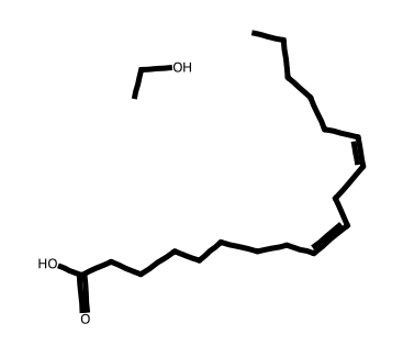 CCCCC/C=C\C/C=C\CCCCCCCC(=O)O.CCO